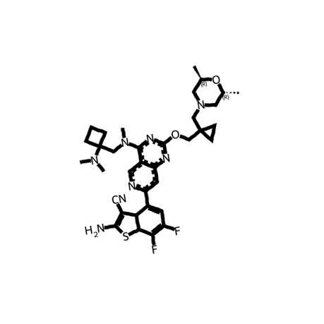 C[C@@H]1CN(CC2(COc3nc(N(C)CC4(N(C)C)CCC4)c4cnc(C5=CC(F)=C(F)C6SC(N)=C(C#N)C56)cc4n3)CC2)C[C@@H](C)O1